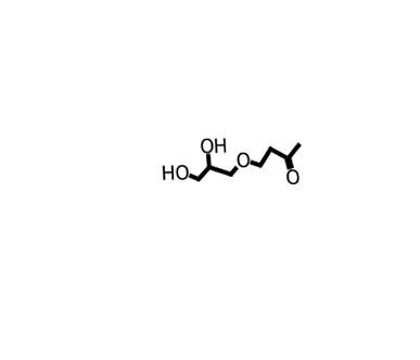 CC(=O)CCOCC(O)CO